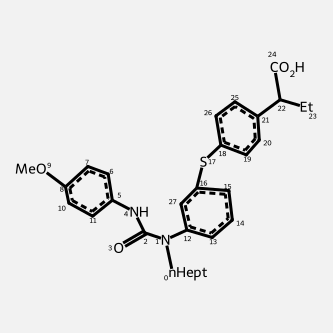 CCCCCCCN(C(=O)Nc1ccc(OC)cc1)c1cccc(Sc2ccc(C(CC)C(=O)O)cc2)c1